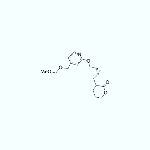 COCOCc1ccnc(OC/C=C\CC2CCCOC2=O)c1